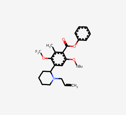 C=CCN1CCCCC1c1cc(OCCCC)c(C(=O)Oc2ccccc2)c(C)c1OC(F)(F)F